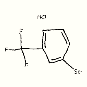 Cl.FC(F)(F)c1cccc([Se])c1